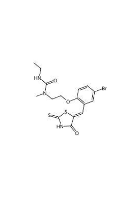 CCNC(=O)N(C)CCOc1ccc(Br)cc1/C=C1\SC(=S)NC1=O